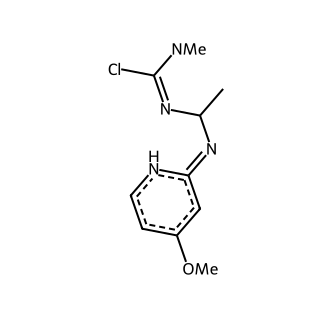 CN/C(Cl)=N\C(C)/N=c1/cc(OC)cc[nH]1